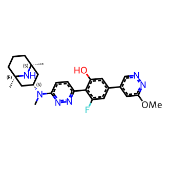 COc1cc(-c2cc(O)c(-c3ccc(N(C)[C@H]4C[C@]5(C)CCC[C@](C)(C4)N5)nn3)c(F)c2)cnn1